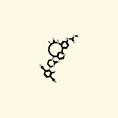 COC(=O)Nc1ccc2c(c1)NC(=O)[C@H](C)CCC[C@H](N1CC[C@@H](c3c(C#N)ccc(C#N)c3F)OC1=O)c1ccnc-2c1